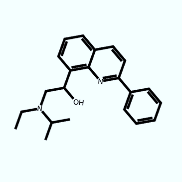 CCN(CC(O)c1cccc2ccc(-c3ccccc3)nc12)C(C)C